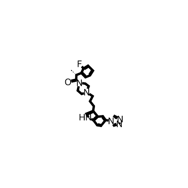 C[C@@H](C(=O)N1CCN(CCCc2c[nH]c3ccc(-n4cnnc4)cc23)CC1)c1ccccc1F